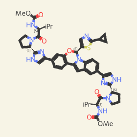 COC(=O)N[C@H](C(=O)N1CCC[C@H]1c1nc(-c2ccc3c(c2)O[C@@H](c2cnc(C4CC4)s2)n2c-3cc3cc(-c4c[nH]c([C@@H]5CCCN5C(=O)[C@@H](NC(=O)OC)C(C)C)n4)ccc32)c[nH]1)C(C)C